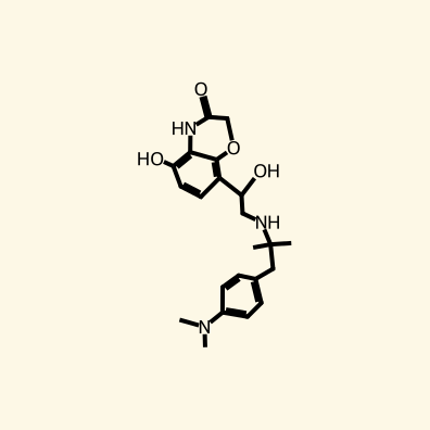 CN(C)c1ccc(CC(C)(C)NCC(O)c2ccc(O)c3c2OCC(=O)N3)cc1